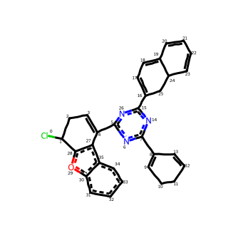 ClC1CC=C(c2nc(C3=CCCC=C3)nc(C3=CC=C4C=CC=CC4C3)n2)c2c1oc1ccccc21